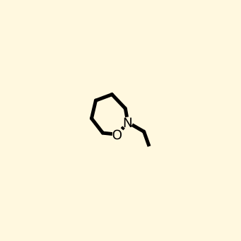 CCN1CCCCCO1